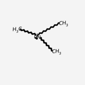 CCCCCCCCCCCCC1N(CCCCCCCCC)C=CN1CCCCCCCCCCC